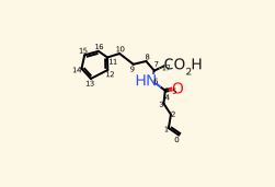 C=CCCC(=O)NC(CCCc1ccccc1)C(=O)O